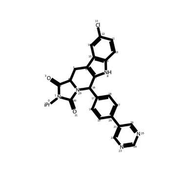 CC(C)N1C(=O)C2Cc3c([nH]c4ccc(Cl)cc34)C(c3ccc(-c4cncnc4)cc3)N2C1=O